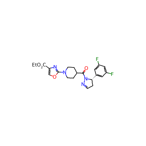 CCOC(=O)c1coc(N2CCC(C(=O)N3N=CC[C@H]3c3cc(F)cc(F)c3)CC2)n1